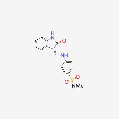 CNS(=O)(=O)c1ccc(N/C=C2\C(=O)Nc3ccccc32)cc1